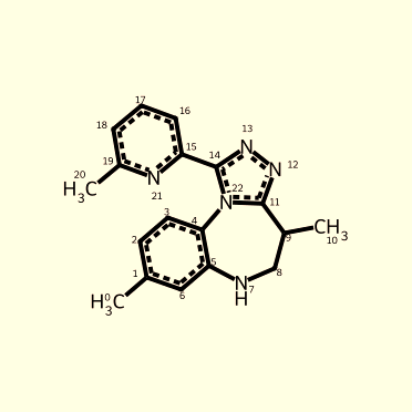 Cc1ccc2c(c1)NCC(C)c1nnc(-c3cccc(C)n3)n1-2